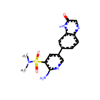 CN(C)S(=O)(=O)c1cc(-c2ccc3ncc(=O)[nH]c3c2)cnc1N